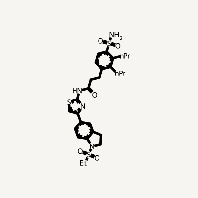 CCCc1c(CCC(=O)Nc2nc(-c3ccc4c(c3)CCN4S(=O)(=O)CC)cs2)ccc(S(N)(=O)=O)c1CCC